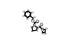 O=C([C@H]1CCCN1C(=O)OCc1ccccc1)N1CCC1